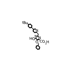 CC(C)(C)c1ccc(-c2ccc(Cc3nc(O)c(OCc4ccccc4)c(C(=O)O)n3)nc2)cc1